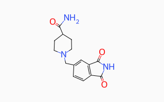 NC(=O)C1CCN(Cc2ccc3c(c2)C(=O)NC3=O)CC1